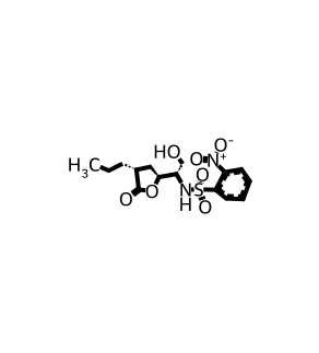 CCC[C@@H]1C[C@@H]([C@H](CO)NS(=O)(=O)c2ccccc2[N+](=O)[O-])OC1=O